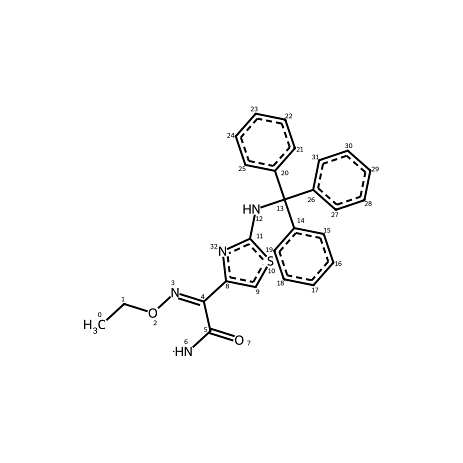 CCON=C(C([NH])=O)c1csc(NC(c2ccccc2)(c2ccccc2)c2ccccc2)n1